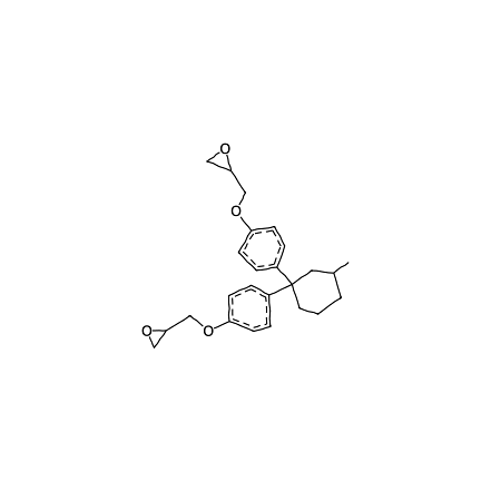 CC1CCCC(c2ccc(OCC3CO3)cc2)(c2ccc(OCC3CO3)cc2)C1